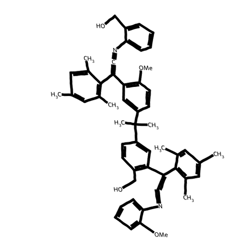 COc1ccccc1N=C=C(c1cc(C(C)(C)c2ccc(OC)c(C(=C=Nc3ccccc3CO)c3c(C)cc(C)cc3C)c2)ccc1CO)c1c(C)cc(C)cc1C